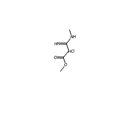 CNC(=N)CC(=O)OC.Cl